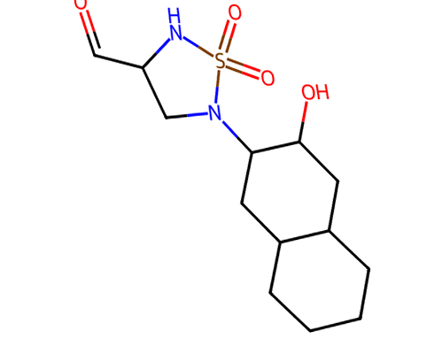 O=CC1CN(C2CC3CCCCC3CC2O)S(=O)(=O)N1